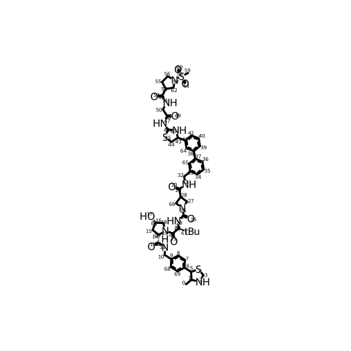 CC1NCSC1c1ccc(CNC(=O)[C@@H]2C[C@@H](O)CN2C(=O)[C@@H](NC(=O)N2CC(C(=O)NCc3cccc(-c4cccc(C5CSC(NC(=O)CNC(=O)C6CCN(S(C)(=O)=O)C6)N5)c4)c3)C2)C(C)(C)C)cc1